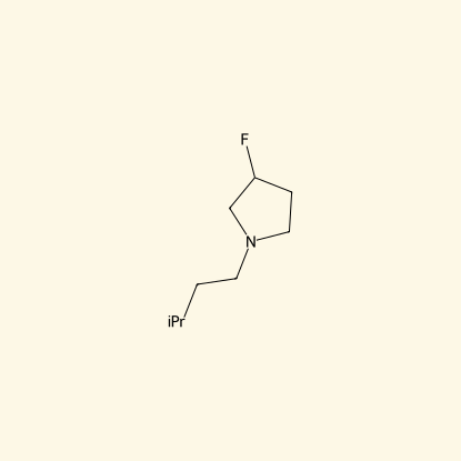 CC(C)CCN1CCC(F)C1